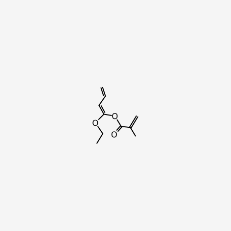 C=CC=C(OCC)OC(=O)C(=C)C